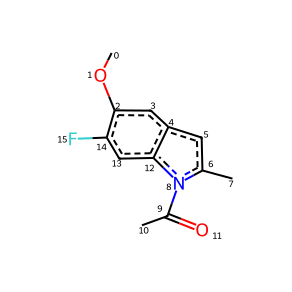 COc1cc2cc(C)n(C(C)=O)c2cc1F